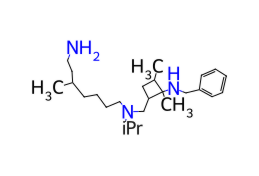 CC(CCN)CCCCN(CC1CC(C)C1(C)NCc1ccccc1)C(C)C